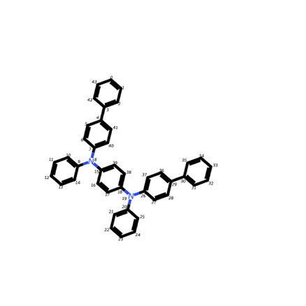 c1ccc(-c2ccc(N(c3ccccc3)c3ccc(N(c4ccccc4)c4ccc(-c5ccccc5)cc4)cc3)cc2)cc1